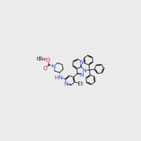 CCc1cnc(N[C@H]2CCCN(C(=O)OC(C)(C)C)C2)cc1-c1nn(C(c2ccccc2)(c2ccccc2)c2ccccc2)c2ncccc12